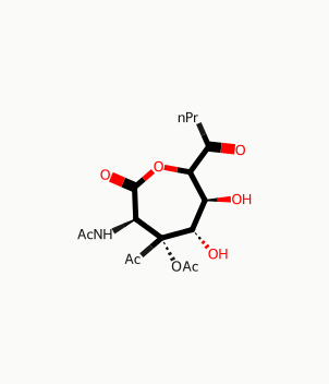 CCCC(=O)C1OC(=O)[C@H](NC(C)=O)[C@](OC(C)=O)(C(C)=O)[C@@H](O)[C@@H]1O